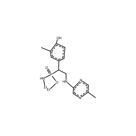 CCNP(=O)(OCC)C(CNc1cnc(C)cn1)c1ccc(O)c(C)c1